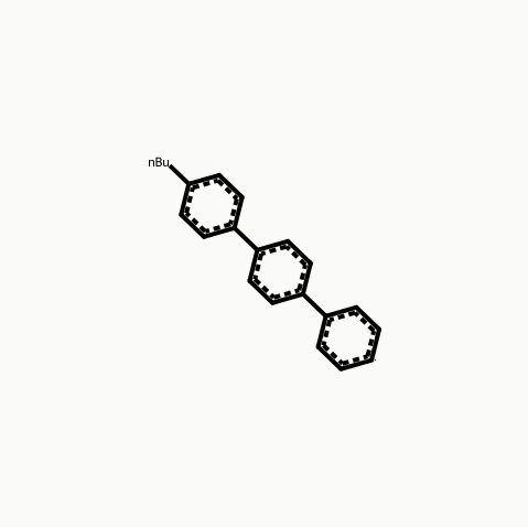 CCCCc1ccc(-c2ccc(-c3cc[c]cc3)cc2)cc1